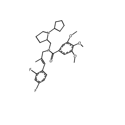 COc1cc(C(=O)N(CC(C)=Cc2ccc(F)cc2F)CC2CCCN2C2CCCC2)cc(OC)c1OC